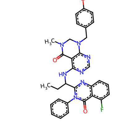 CCC(Nc1ncnc2c1C(=O)N(C)CN2Cc1ccc(OC)cc1)c1nc2cccc(F)c2c(=O)n1-c1ccccc1